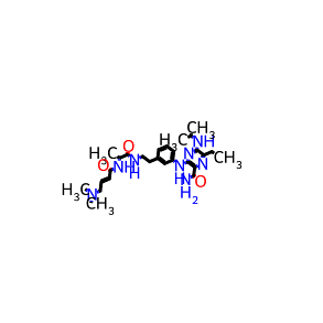 CCc1nc(C(N)=O)c(Nc2cccc(CCNC(=O)C(C)NC(=O)/C=C/CN(C)C)c2)nc1NC(C)C